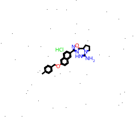 Cc1ccc(COc2ccc3cc(-c4noc(C5CCCN5C(=N)N)n4)ccc3c2)cc1.Cl